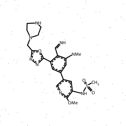 CNc1cc(-c2cnc(OC)c(NS(C)(=O)=O)c2)cc(-c2nnc(CN3CCNCC3)o2)c1C=N